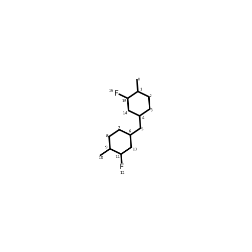 CC1CCC(CC2CCC(C)C(F)C2)CC1F